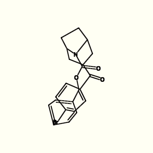 O=C(c1ccc(Br)cc1)C1CC2CCC(C1)N2C(=O)OCc1ccccc1